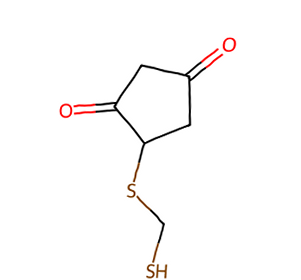 O=C1CC(=O)C(SCS)C1